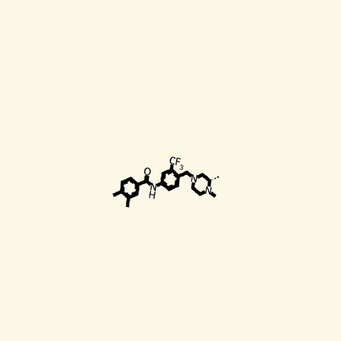 Cc1ccc(C(=O)Nc2ccc(CN3CCN(C)[C@@H](C)C3)c(C(F)(F)F)c2)cc1C